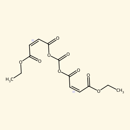 CCOC(=O)/C=C\C(=O)OC(=O)OC(=O)/C=C\C(=O)OCC